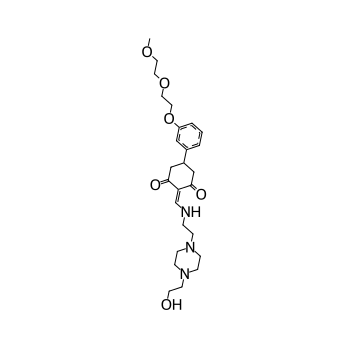 COCCOCCOc1cccc(C2CC(=O)C(=CNCCN3CCN(CCO)CC3)C(=O)C2)c1